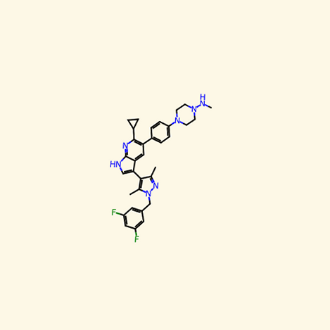 CNN1CCN(c2ccc(-c3cc4c(-c5c(C)nn(Cc6cc(F)cc(F)c6)c5C)c[nH]c4nc3C3CC3)cc2)CC1